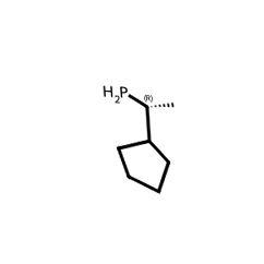 C[C@@H](P)C1CCCC1